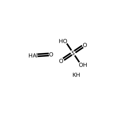 O=S(=O)(O)O.[KH].[O]=[AlH]